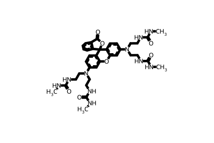 CNC(=O)NCCN(CCNC(=O)NC)c1ccc2c(c1)Oc1cc(N(CCNC(=O)NC)CCNC(=O)NC)ccc1C21OC(=O)c2ccccc21